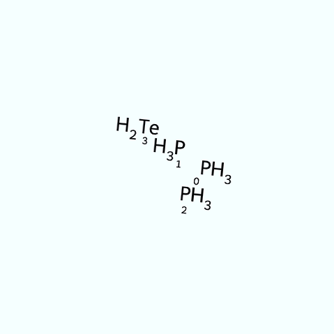 P.P.P.[TeH2]